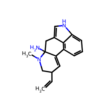 C=CC1C=C2c3cccc4[nH]cc(c34)CC2(N)N(C)C1